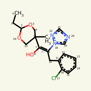 CCC1OCC(C)(/C(O)=C(/Cc2ccccc2Cl)n2cncn2)CO1